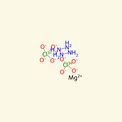 NN.NN.[Mg+2].[O-][Cl+3]([O-])([O-])[O-].[O-][Cl+3]([O-])([O-])[O-]